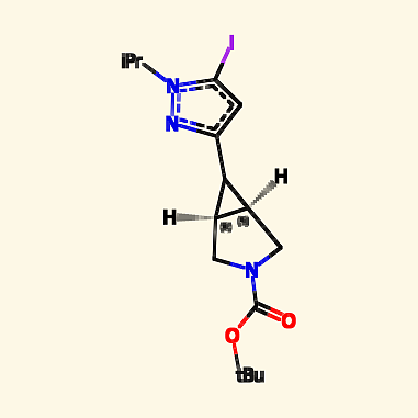 CC(C)n1nc(C2[C@H]3CN(C(=O)OC(C)(C)C)C[C@@H]23)cc1I